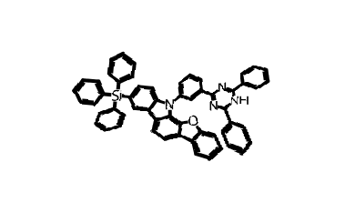 c1ccc(C2=NC(c3cccc(-n4c5ccc([Si](c6ccccc6)(c6ccccc6)c6ccccc6)cc5c5ccc6c7ccccc7oc6c54)c3)=NC(c3ccccc3)N2)cc1